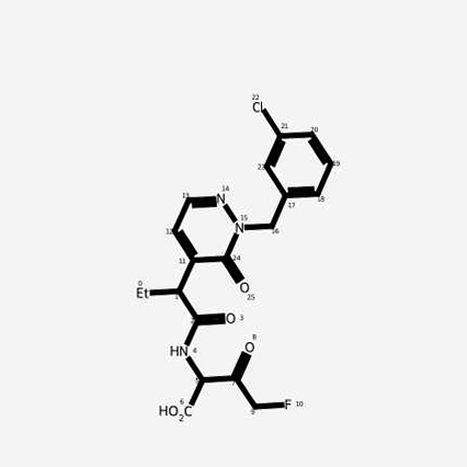 CCC(C(=O)NC(C(=O)O)C(=O)CF)c1ccnn(Cc2cccc(Cl)c2)c1=O